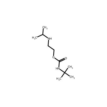 CC(C)NCCOC(=O)NC(C)(C)C